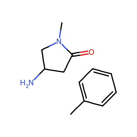 CN1CC(N)CC1=O.Cc1ccccc1